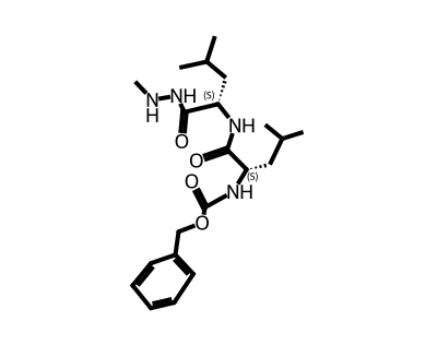 CNNC(=O)[C@H](CC(C)C)NC(=O)[C@H](CC(C)C)NC(=O)OCc1ccccc1